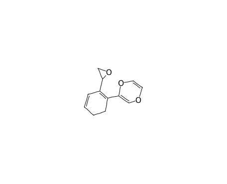 C1=CC(C2CO2)=C(C2=COC=CO2)CC1